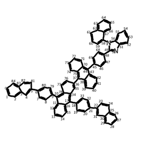 c1ccc2cc(-c3ccc(-c4c5ccccc5c(-c5ccc(-c6ccc7ccccc7c6)cc5)c5cc(-c6c7ccccc7c(-c7ccc(-c8nc9ccccc9n8-c8cccc9ccccc89)cc7)c7ccccc67)ccc45)cc3)ccc2c1